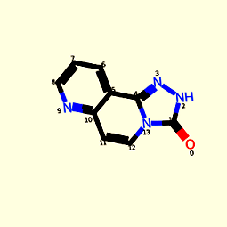 O=c1[nH]nc2c3cccnc3ccn12